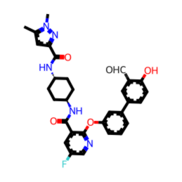 Cc1cc(C(=O)N[C@H]2CC[C@H](NC(=O)c3cc(F)cnc3Oc3cccc(-c4ccc(O)c(C=O)c4)c3)CC2)nn1C